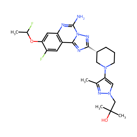 Cc1nn(CC(C)(C)O)cc1N1CCC[C@@H](c2nc3c4cc(F)c(OC(C)F)cc4nc(N)n3n2)C1